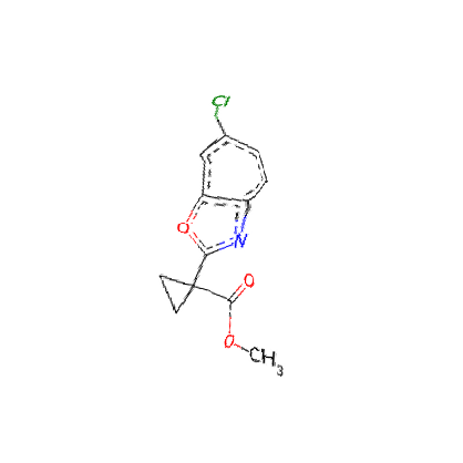 COC(=O)C1(c2nc3ccc(Cl)cc3o2)CC1